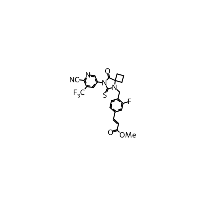 COC(=O)/C=C/c1ccc(CN2C(=S)N(c3cnc(C#N)c(C(F)(F)F)c3)C(=O)C23CCC3)c(F)c1